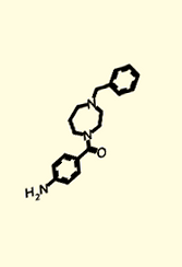 Nc1ccc(C(=O)N2CCCN(Cc3ccccc3)CC2)cc1